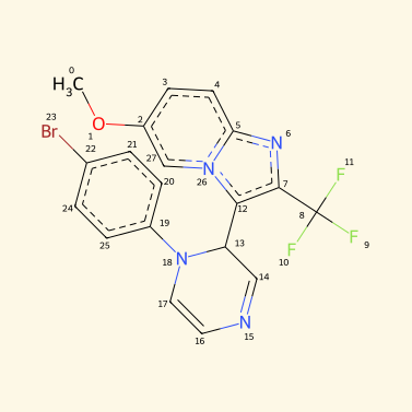 COc1ccc2nc(C(F)(F)F)c(C3C=NC=CN3c3ccc(Br)cc3)n2c1